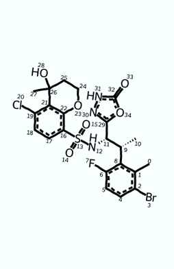 Cc1c(Br)ccc(F)c1[C@@H](C)[C@H](NS(=O)(=O)c1ccc(Cl)c2c1OCCC2(C)O)c1n[nH]c(=O)o1